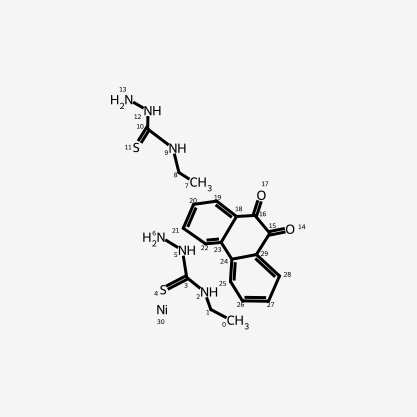 CCNC(=S)NN.CCNC(=S)NN.O=C1C(=O)c2ccccc2-c2ccccc21.[Ni]